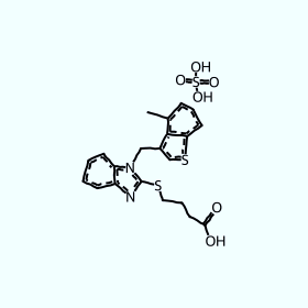 Cc1cccc2scc(Cn3c(SCCCC(=O)O)nc4ccccc43)c12.O=S(=O)(O)O